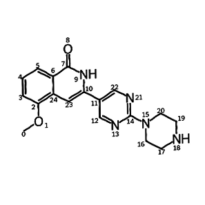 COc1cccc2c(=O)[nH]c(-c3cnc(N4CCNCC4)nc3)cc12